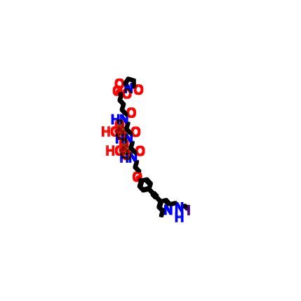 Cc1cc(C#Cc2ccc(OCCCNC(=O)C(CNC(=O)C(CNC(=O)CCCC(=O)ON3C(=O)CCC3=O)S(=O)(=O)O)S(=O)(=O)O)cc2)cc(CNCI)n1